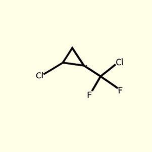 FC(F)(Cl)[C]1CC1Cl